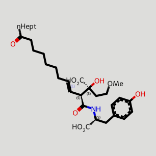 CCCCCCCC(=O)CCCCCC/C=C/[C@H](C(=O)N[C@@H](Cc1ccc(O)cc1)C(=O)O)[C@@](O)(CCOC)C(=O)O